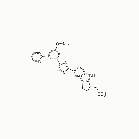 O=C(O)CC1CCc2c1[nH]c1ccc(-c3noc(-c4cc(OC(F)(F)F)cc(-c5ccccn5)c4)n3)cc21